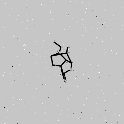 CCN1C2CC3C(=O)OC(C2C)C31